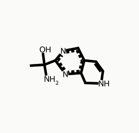 CC(N)(O)c1ncc2c(n1)CNC=C2